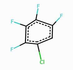 Fc1cc(Cl)c(F)c(F)c1F